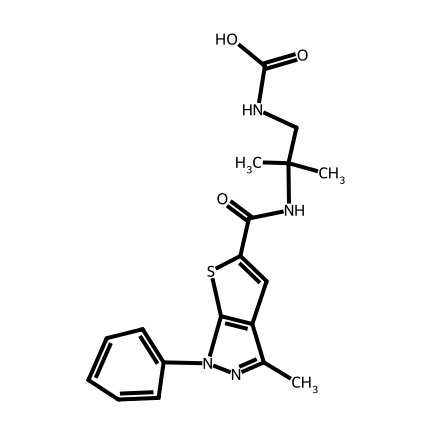 Cc1nn(-c2ccccc2)c2sc(C(=O)NC(C)(C)CNC(=O)O)cc12